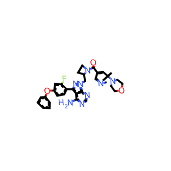 C/N=C\C(=C/C(C)(C)N1CCOCC1)C(=O)N1CCC1Cn1nc(-c2ccc(Oc3ccccc3)cc2F)c2c(N)ncnc21